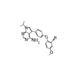 COc1ccc(Oc2ccc(-c3cn(C(C)C)c4ncnc(N)c34)cc2)c(C#N)c1